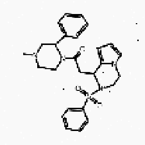 CN1CCN(C(=O)CC2c3cccn3CCN2S(=O)(=O)c2ccccc2)C(c2ccccc2)C1